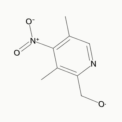 Cc1cnc(C[O])c(C)c1[N+](=O)[O-]